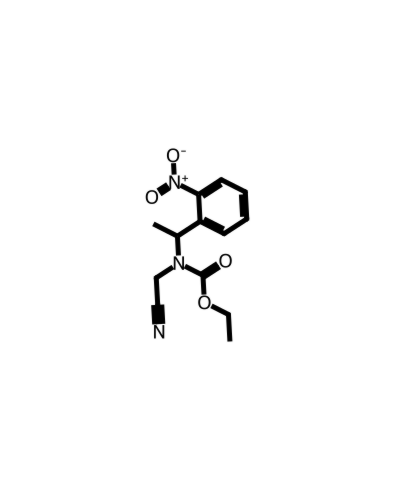 CCOC(=O)N(CC#N)C(C)c1ccccc1[N+](=O)[O-]